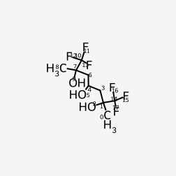 CC(O)(CC(O)CC(C)(O)C(F)(F)F)C(F)(F)F